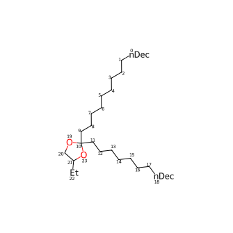 CCCCCCCCCCCCCCCCCCCC1(CCCCCCCCCCCCCCCCC)OCC(CC)O1